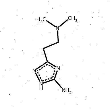 CN(C)CCc1n[nH]c(N)n1